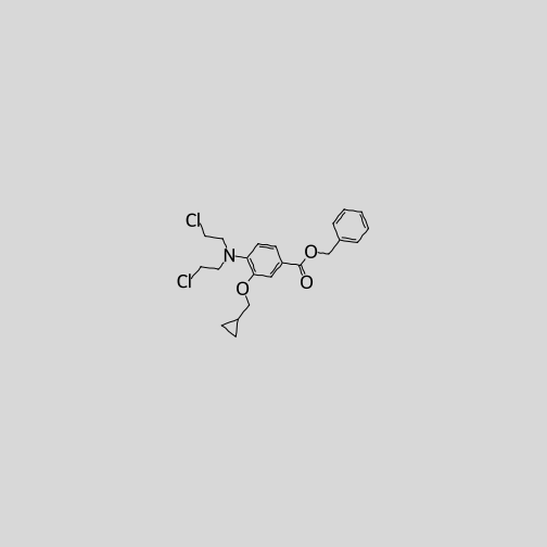 O=C(OCc1ccccc1)c1ccc(N(CCCl)CCCl)c(OCC2CC2)c1